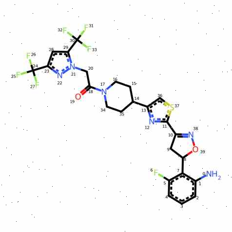 Nc1cccc(F)c1C1CC(c2nc(C3CCN(C(=O)Cn4nc(C(F)(F)F)cc4C(F)(F)F)CC3)cs2)=NO1